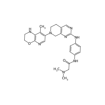 Cc1c(N2CCc3cnc(Nc4ccc(NC(=O)CN(C)C)cc4)nc3C2)cnc2c1NCCO2